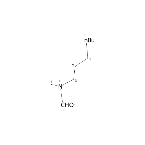 CCCCCCCN(C)[C]=O